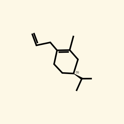 C=CCC1=C(C)C[C@@H](C(C)C)CC1